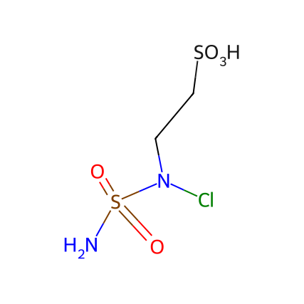 NS(=O)(=O)N(Cl)CCS(=O)(=O)O